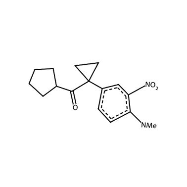 CNc1ccc(C2(C(=O)C3CCCC3)CC2)cc1[N+](=O)[O-]